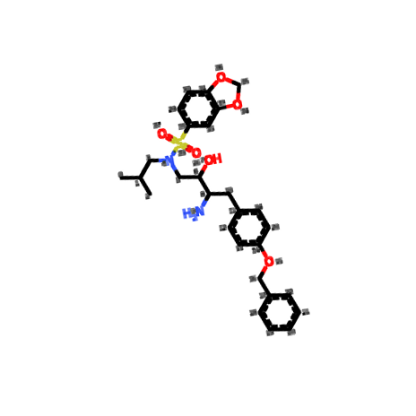 CC(C)CN(CC(O)C(N)Cc1ccc(OCc2ccccc2)cc1)S(=O)(=O)c1ccc2c(c1)OCO2